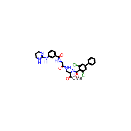 COC(=O)C(CNC(=O)CNC(=O)c1cccc(NC2=NCCCN2)c1)NC(=O)c1c(Cl)cc(-c2ccccc2)cc1Cl